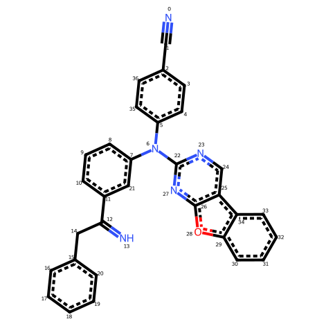 N#Cc1ccc(N(c2cccc(C(=N)Cc3ccccc3)c2)c2ncc3c(n2)oc2ccccc23)cc1